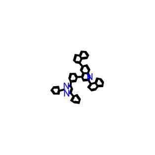 c1ccc(-c2cc(-c3cccc(-c4cc(-c5cccc6ccccc56)nc5ccc(-c6cccc7ccccc67)cc45)c3)nc(-c3ccccc3)n2)cc1